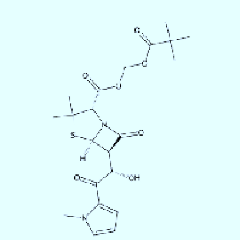 Cn1cccc1C(=O)[C@@H](O)[C@@H]1C(=O)N2[C@@H]1SC(C)(C)[C@@H]2C(=O)OCOC(=O)C(C)(C)C